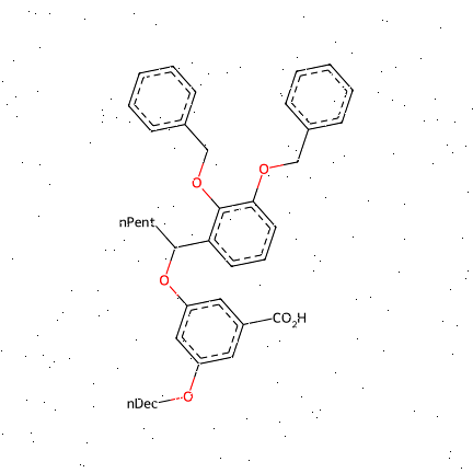 CCCCCCCCCCOc1cc(OC(CCCCC)c2cccc(OCc3ccccc3)c2OCc2ccccc2)cc(C(=O)O)c1